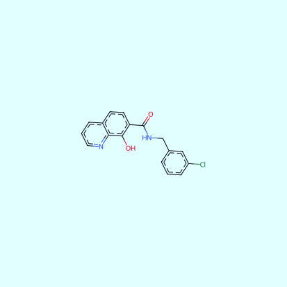 O=C(NCc1cccc(Cl)c1)c1ccc2cccnc2c1O